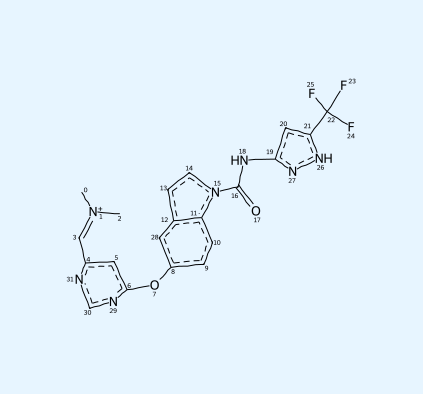 C[N+](C)=Cc1cc(Oc2ccc3c(ccn3C(=O)Nc3cc(C(F)(F)F)[nH]n3)c2)ncn1